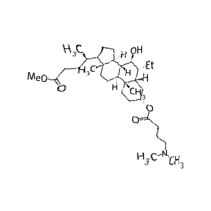 CC[C@H]1[C@H](O)[C@@H]2[C@H](CC[C@]3(C)[C@@H]([C@H](C)CCC(=O)OC)CC[C@@H]23)[C@@]2(C)CC[C@@H](OC(=O)CCCN(C)C)C[C@@H]12